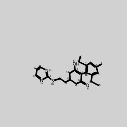 CCc1cc(C)cc(CC)c1C1=C(O)CC(CCSc2ncccn2)CC1=O